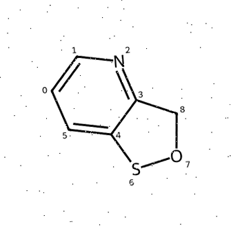 c1cnc2c(c1)SOC2